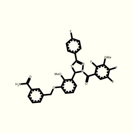 COc1c(OCc2cccc(C(N)=O)c2)cccc1C1SC(c2ccc(F)cc2)=NN1C(=O)c1cc(F)c(F)c(OC)c1F